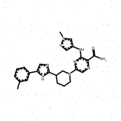 Cc1cccc(-c2cnc(C3CCCN(c4cnc(C(N)=O)c(Nc5cnn(C)c5)n4)C3)[nH]2)c1